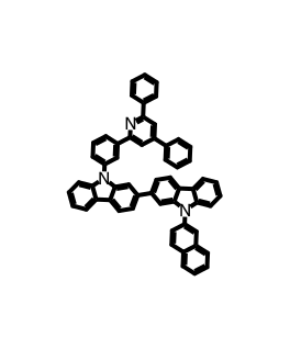 c1ccc(-c2cc(-c3ccccc3)nc(-c3cccc(-n4c5ccccc5c5ccc(-c6ccc7c8ccccc8n(-c8ccc9ccccc9c8)c7c6)cc54)c3)c2)cc1